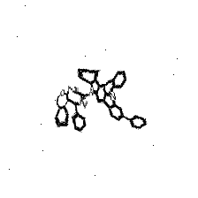 c1ccc(-c2ccc3c4cc5c(c6ccccc6n5-c5nc6c(c(-c7ccccc7)n5)-c5ccccc5CCO6)c5c6ccccc6n(c3c2)c45)cc1